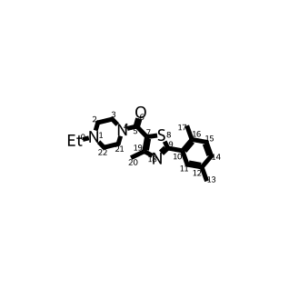 CCN1CCN(C(=O)c2sc(-c3cc(C)ccc3C)nc2C)CC1